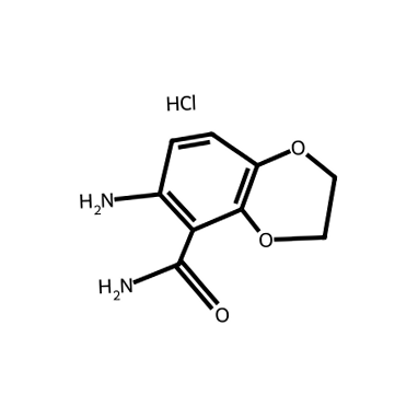 Cl.NC(=O)c1c(N)ccc2c1OCCO2